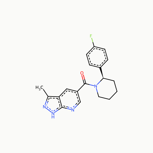 Cc1n[nH]c2ncc(C(=O)N3CCCC[C@@H]3c3ccc(F)cc3)cc12